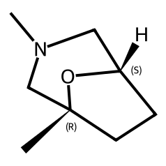 CN1C[C@@H]2CC[C@](C)(C1)O2